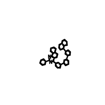 c1ccc(-c2nc(-c3cccc(-c4cccc(-c5cccc(-c6cccc7ccccc67)c5)c4)c3)c3ccc4ccccc4c3n2)cc1